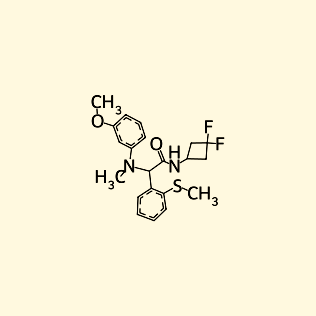 COc1cccc(N(C)C(C(=O)NC2CC(F)(F)C2)c2ccccc2SC)c1